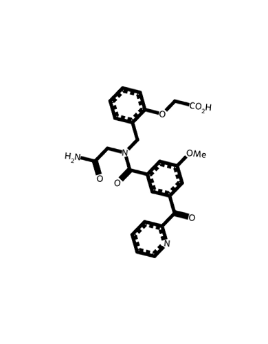 COc1cc(C(=O)c2ccccn2)cc(C(=O)N(CC(N)=O)Cc2ccccc2OCC(=O)O)c1